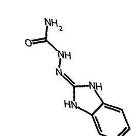 NC(=O)NN=c1[nH]c2ccccc2[nH]1